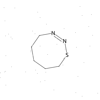 C1CCN=NSCC1